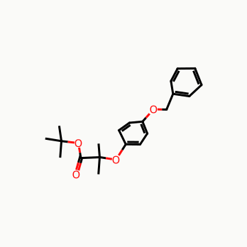 CC(C)(C)OC(=O)C(C)(C)Oc1ccc(OCc2ccccc2)cc1